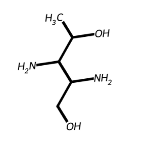 CC(O)C(N)C(N)CO